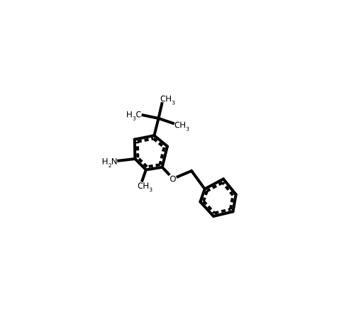 Cc1c(N)cc(C(C)(C)C)cc1OCc1ccccc1